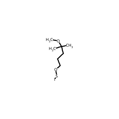 COC(C)(C)CCCOSI